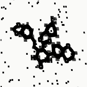 O=C1NC(CCc2ccc3c(c2)OCO3)=C(C(=O)OCc2cccc(F)c2)C(c2ccc3c(c2)OCCO3)N1